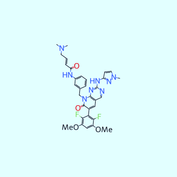 COc1cc(OC)c(F)c(-c2cc3cnc(Nc4ccn(C)n4)nc3n(Cc3cccc(NC(=O)/C=C/CN(C)C)c3)c2=O)c1F